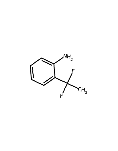 CC(F)(F)c1ccccc1N